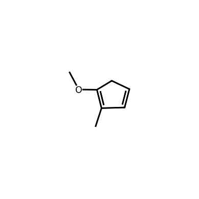 COC1=C(C)C=CC1